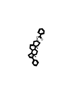 C[C@]12CC[C@H](OC(=O)c3ccccc3)CC1=CCC1C2CC[C@]2(C)C(c3ccccc3)=CCC12